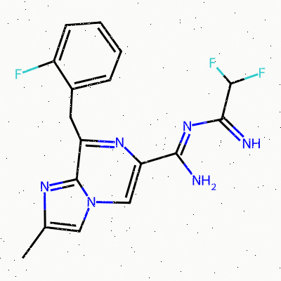 Cc1cn2cc(/C(N)=N/C(=N)C(F)F)nc(Cc3ccccc3F)c2n1